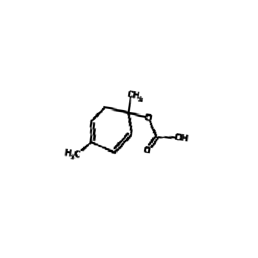 CC1=CCC(C)(OC(=O)O)C=C1